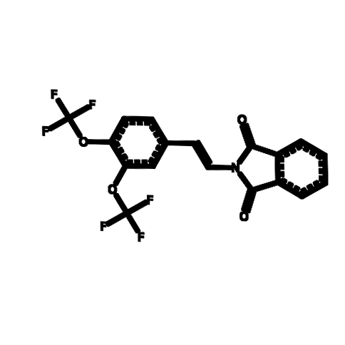 O=C1c2ccccc2C(=O)N1C=Cc1ccc(OC(F)(F)F)c(OC(F)(F)F)c1